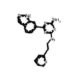 Nc1nc(NCCc2ccccn2)nc(-c2ccc3cn[nH]c3c2)n1